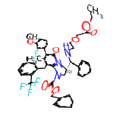 CCOC(=O)COCCNC(c1ccccc1)[C@@H]1CN(C(=O)OCc2ccccc2)c2c(Cc3c(F)cccc3C(F)(F)F)c(C)c(-c3cccc(OC)c3F)c(=O)n21